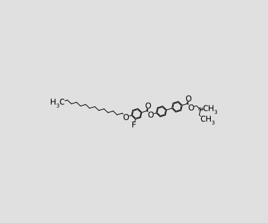 CCCCCCCCCCCCCCOc1ccc(C(=O)Oc2ccc(-c3ccc(C(=O)OC[C@@H](C)CC)cc3)cc2)cc1F